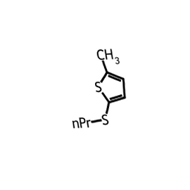 CCCSc1ccc(C)s1